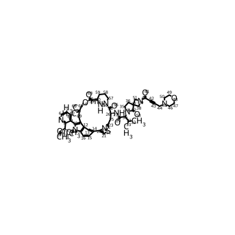 CO[C@@H](C)c1ncccc1-c1c2c3cc(ccc3n1C)-c1csc(n1)C[C@H](NC(=O)C(C(C)C)N1CCC3(CN(C(=O)C#CCN4CCOCC4)C3)C1=O)C(=O)N1CCC[C@H](N1)C(=O)OCC(C)(C)C2